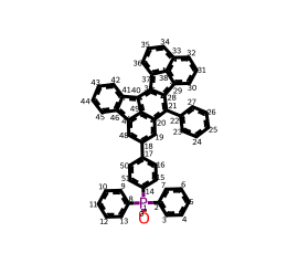 O=P(c1ccccc1)(c1ccccc1)c1ccc(-c2cc3c(-c4ccccc4)c4c5cccc6cccc(c65)c4c4c5ccccc5c(c2)c34)cc1